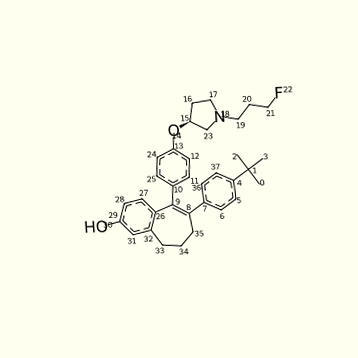 CC(C)(C)c1ccc(C2=C(c3ccc(O[C@H]4CCN(CCCF)C4)cc3)c3ccc(O)cc3CCC2)cc1